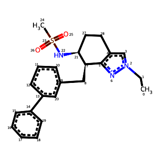 CCn1cc2c(n1)[C@@H](Cc1cccc(-c3ccccc3)c1)[C@@H](NS(C)(=O)=O)CC2